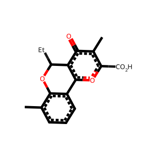 CCC1Oc2c(C)cccc2-c2oc(C(=O)O)c(C)c(=O)c21